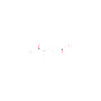 O=C(O)CCC[C@H](F)C(=O)O